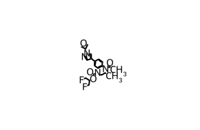 CC(=O)N1c2ccc(-c3cnn(C4COC4)c3)cc2N(C(=O)OC(CF)CF)C[C@@H]1C